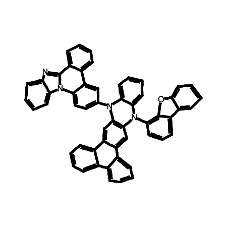 c1ccc2c(c1)N(c1ccc3c(c1)c1ccccc1c1nc4ccccc4n31)c1cc3c4ccccc4c4ccccc4c3cc1N2c1cccc2c1oc1ccccc12